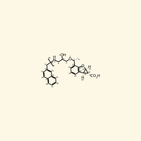 C[C@@H](OCC(O)CNC(C)(C)Cc1ccc2ccccc2c1)c1cccc2c1O[C@H]1[C@H](C(=O)O)[C@@H]21